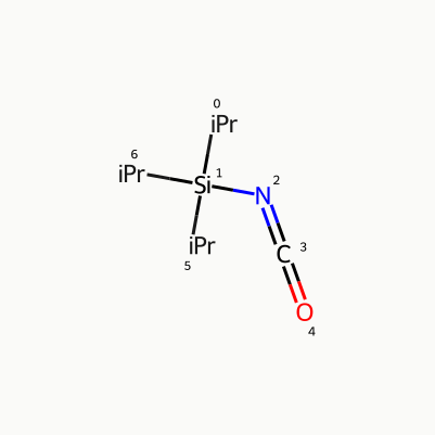 CC(C)[Si](N=C=O)(C(C)C)C(C)C